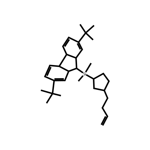 C=CCCC1CCC([Si](C)(C)C2C3C=C(C(C)(C)C)C=CC3C3C=CC(C(C)(C)C)=CC32)C1